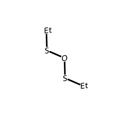 CCSOSCC